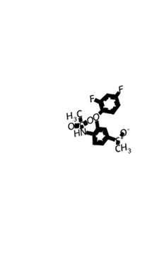 C[S+]([O-])c1ccc(NS(C)(=O)=O)c(Oc2ccc(F)cc2F)c1